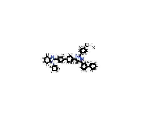 Cc1ccc(-c2nc(-c3ccc(-c4ccc(-c5nc6ccccc6n5-c5ccccc5)cc4)cc3)cc(-c3cccc(-c4ccccc4)c3)n2)cc1